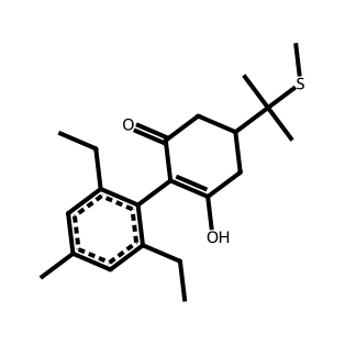 CCc1cc(C)cc(CC)c1C1=C(O)CC(C(C)(C)SC)CC1=O